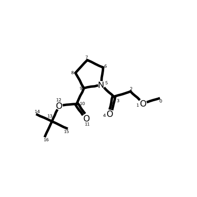 COCC(=O)N1CCCC1C(=O)OC(C)(C)C